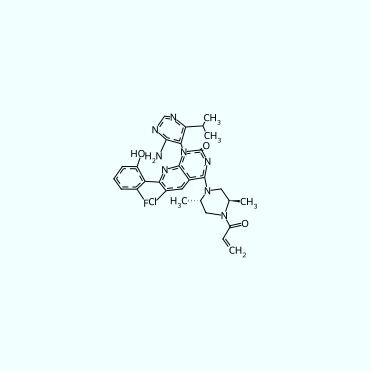 C=CC(=O)N1C[C@H](C)N(c2nc(=O)n(-c3c(N)ncnc3C(C)C)c3nc(-c4c(O)cccc4F)c(Cl)cc23)C[C@H]1C